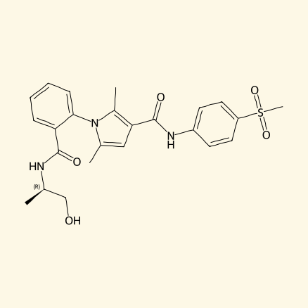 Cc1cc(C(=O)Nc2ccc(S(C)(=O)=O)cc2)c(C)n1-c1ccccc1C(=O)N[C@H](C)CO